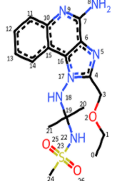 CCOCc1nc2c(N)nc3ccccc3c2n1NC(C)(C)NS(C)(=O)=O